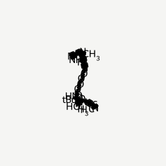 Cc1ncsc1-c1ccc(CNC(=O)[C@@H]2C[C@@H](O)CN2C(=O)C(NC(=O)CCOCCOCCOCCOCCN2CCN(c3ccc(-n4c(C)nc5ccc(-c6ccnc(N)c6)nc54)cc3F)CC2)C(C)(C)C)cc1